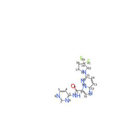 O=C(Nc1ccncn1)c1cnc2ccc(N3CCC(F)(F)C3)nn12